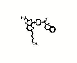 CCCCCc1ccc2nc(N)nc(N3CCN(C(=O)C4CCc5ccccc5O4)CC3)c2n1